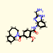 COc1cc(C(=O)N2CCCCc3ccccc32)ccc1C(=O)Nc1cccc2[nH]c(CN)nc12